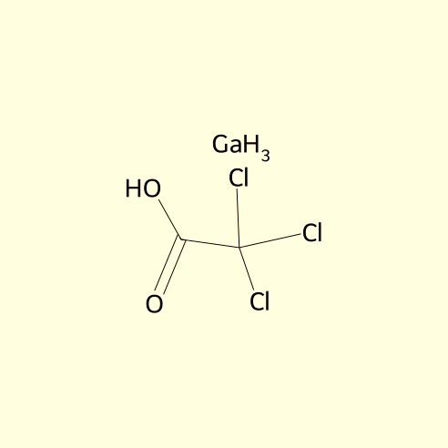 O=C(O)C(Cl)(Cl)Cl.[GaH3]